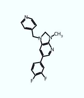 CN1CN(Cc2ccncc2)c2cc(-c3ccc(F)c(F)c3)cnc21